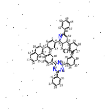 CCC1C(c2ccc(-c3ccc4ccccc4c3-c3ccc(-c4nc(-c5ccccc5)nc(-c5ccccc5)n4)cc3)cc2)=NC(c2ccccc2)=CC1c1ccccc1